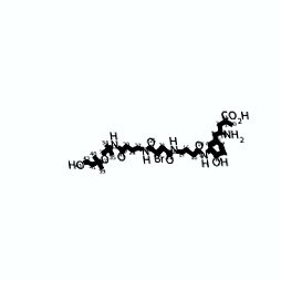 CC(C[C@@H](N)Cc1ccc(O)c(NC(=O)CCCNC(=O)/C=C(\Br)C(=O)NCCCC(=O)NC(C)(C)COC(C)(C)CCO)c1)C(=O)O